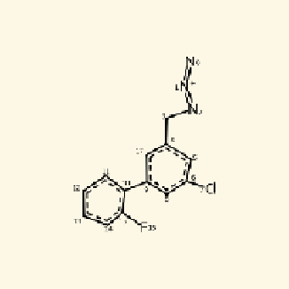 [N-]=[N+]=NCc1cc(Cl)cc(-c2ccccc2F)c1